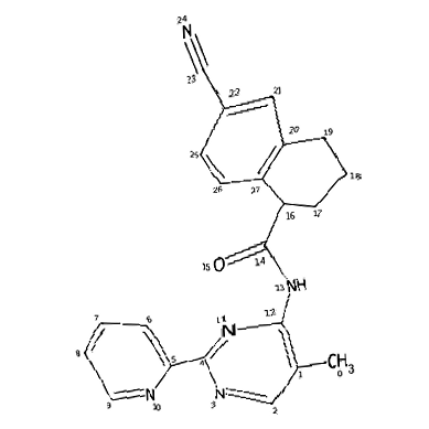 Cc1cnc(-c2ccccn2)nc1NC(=O)C1CCCc2cc(C#N)ccc21